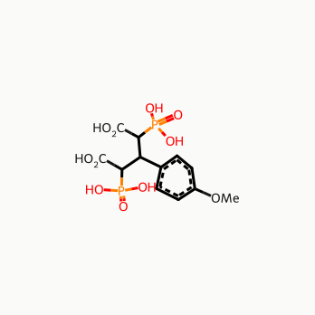 COc1ccc(C(C(C(=O)O)P(=O)(O)O)C(C(=O)O)P(=O)(O)O)cc1